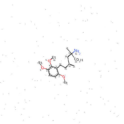 CCOc1ccc(OCC)c(OCC)c1CCC(C)CC(C)(N)C(=O)O